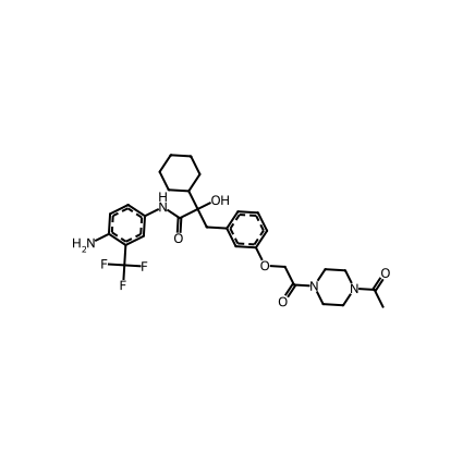 CC(=O)N1CCN(C(=O)COc2cccc(CC(O)(C(=O)Nc3ccc(N)c(C(F)(F)F)c3)C3CCCCC3)c2)CC1